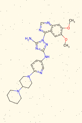 COc1cc2ncnc(-n3nc(Nc4ccc(N5CCC(N6CCCCC6)CC5)nc4)nc3N)c2cc1OC